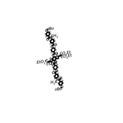 CCCCOc1ccc(C(=O)N(C)c2ccc(C(=O)OC3CCC(C(=O)Oc4c5c(c(OC(=O)C6CCC(OC(=O)c7ccc(N(C)C(=O)c8ccc(OCCCC)cc8)cc7)CC6)c6c4CC(=C(C(=O)OCC)C(=O)OCC)S6)SC(=C(C(=O)OCC)C(=O)OCC)C5)CC3)cc2)cc1